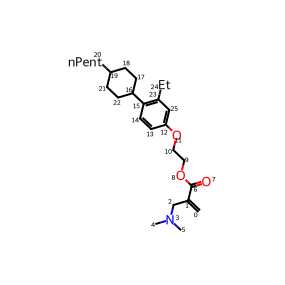 C=C(CN(C)C)C(=O)OCCOc1ccc(C2CCC(CCCCC)CC2)c(CC)c1